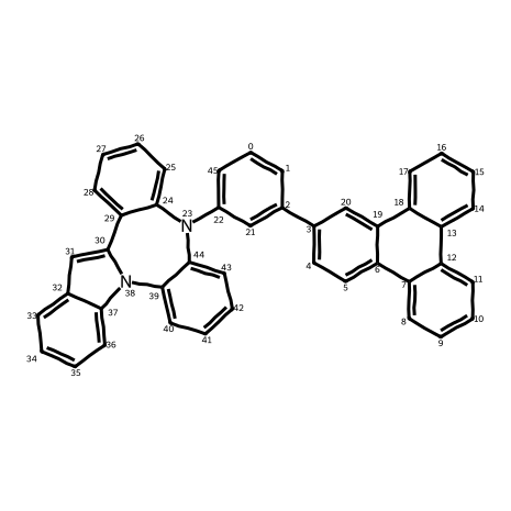 c1cc(-c2ccc3c4ccccc4c4ccccc4c3c2)cc(N2c3ccccc3-c3cc4ccccc4n3-c3ccccc32)c1